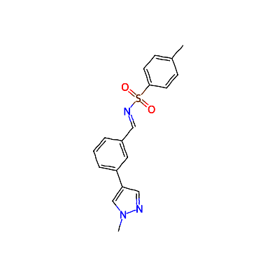 Cc1ccc(S(=O)(=O)N=Cc2cccc(-c3cnn(C)c3)c2)cc1